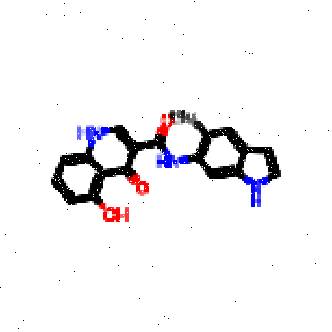 CC(C)(C)c1cc2cc[nH]c2cc1NC(=O)c1c[nH]c2cccc(O)c2c1=O